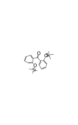 C[Si](C)(C)Oc1ccccc1C(=O)c1ccccc1O[Si](C)(C)C